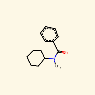 CN(C(=O)c1[c]cccc1)C1CCCCC1